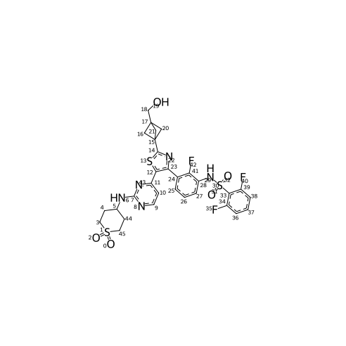 O=S1(=O)CCC(Nc2nccc(-c3sc(C45CC(CO)(C4)C5)nc3-c3cccc(NS(=O)(=O)c4c(F)cccc4F)c3F)n2)CC1